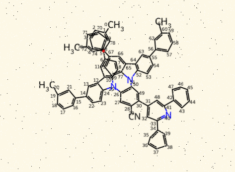 Cc1cccc(-c2ccc3c(c2)c2cc(-c4cccc(C)c4)ccc2n3-c2cc(C#N)c(-c3cc(-c4ccccc4)nc(-c4ccccc4)c3)cc2-n2c3ccc(-c4cccc(C)c4)cc3c3cc(-c4cccc(C)c4)ccc32)c1